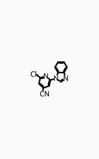 N#Cc1cc(Cl)nc(-n2cnc3ccccc32)c1